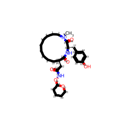 CN1CCCCCCCCC[C@H](CC(=O)NOC2CCCCO2)C(=O)N[C@@H](Cc2ccc(O)cc2)C1=O